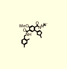 COc1cc(C(=O)N=[N+]=[N-])c(C2=CCC(C)C2)cc1C(=O)NCc1ccc(C)cc1C